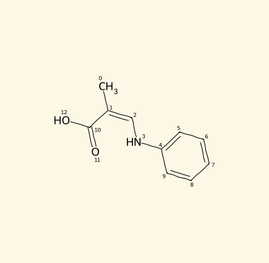 CC(=CNc1ccccc1)C(=O)O